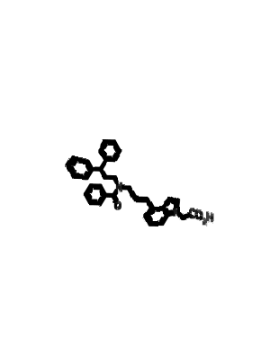 O=C(O)Cn1ccc2c(C=CCN(CCC(c3ccccc3)c3ccccc3)C(=O)c3ccccc3)cccc21